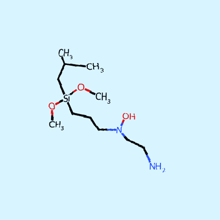 CO[Si](CCCN(O)CCN)(CC(C)C)OC